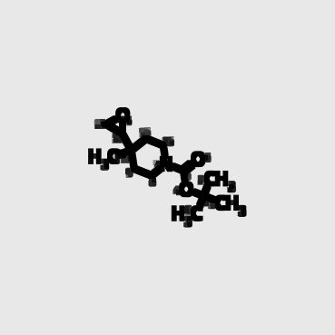 CC(C)(C)OC(=O)N1CCC(C)(C2CO2)CC1